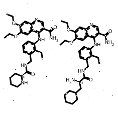 CCOc1cc2ncc(C(N)=O)c(Nc3cccc(CNC(=O)[C@@H]4CCCCN4)c3CC)c2cc1OCC.CCOc1cc2ncc(C(N)=O)c(Nc3cccc(CNC(=O)[C@H](N)CC4CCCCC4)c3CC)c2cc1OCC